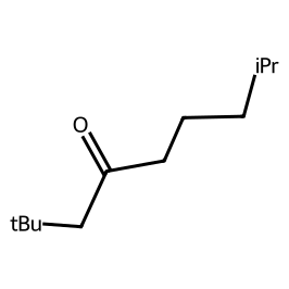 CC(C)CCCC(=O)CC(C)(C)C